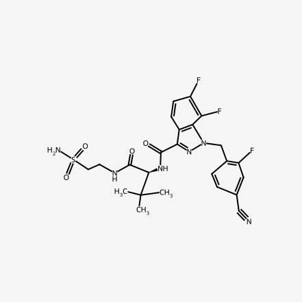 CC(C)(C)[C@H](NC(=O)c1nn(Cc2ccc(C#N)cc2F)c2c(F)c(F)ccc12)C(=O)NCCS(N)(=O)=O